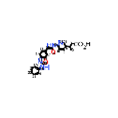 CC(CC(=O)O)c1ccc(NC(=O)Cc2ccc3nc(Nc4ccccc4)oc3c2)nc1